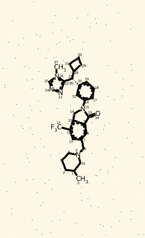 CC1CCCN(Cc2cc3c(c(C(F)(F)F)c2)CN(c2cccc([C@H](c4nncn4C)C4CCC4)c2)C3=O)C1